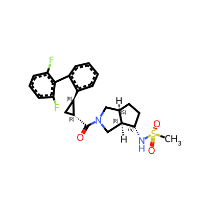 CS(=O)(=O)N[C@H]1CC[C@@H]2CN(C(=O)[C@@H]3C[C@H]3c3ccccc3-c3c(F)cccc3F)C[C@@H]21